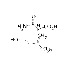 C=C(CCO)C(=O)O.NC(=O)NC(=O)O